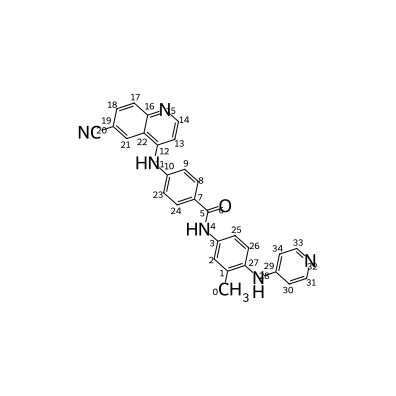 Cc1cc(NC(=O)c2ccc(Nc3ccnc4ccc(C#N)cc34)cc2)ccc1Nc1ccncc1